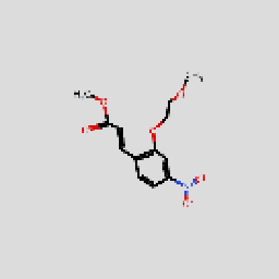 COCCOc1cc([N+](=O)[O-])ccc1C=CC(=O)OC